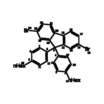 CCCCCCc1ccc(C2(c3ccc(CCCCCC)cc3)c3cc(Br)ccc3-c3ccc(Br)cc32)cc1